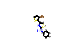 Brc1ccsc1-c1csc(Nc2ccccc2)n1